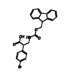 O=C(NCC(C(=O)O)c1ccc(Br)cc1)OCC1c2ccccc2-c2ccccc21